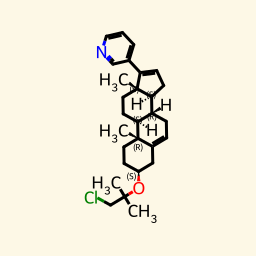 CC(C)(CCl)O[C@H]1CC[C@@]2(C)C(=CC[C@@H]3[C@@H]2CC[C@]2(C)C(c4cccnc4)=CC[C@@H]32)C1